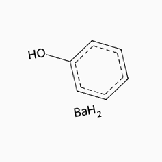 Oc1ccccc1.[BaH2]